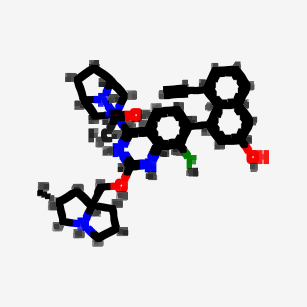 C#Cc1cccc2cc(O)cc(-c3ccc4c(N5CC6CCC(C5)N6C(=O)C(F)(F)F)nc(OC[C@@]56CCCN5C[C@H](C)C6)nc4c3F)c12